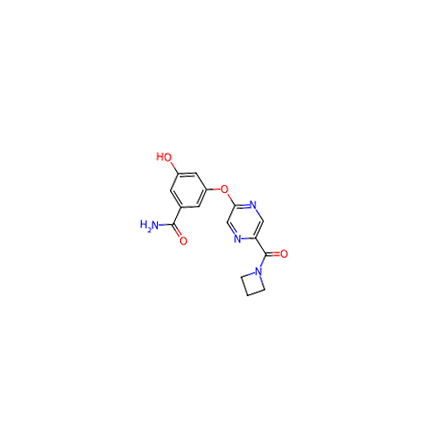 NC(=O)c1cc(O)cc(Oc2cnc(C(=O)N3CCC3)cn2)c1